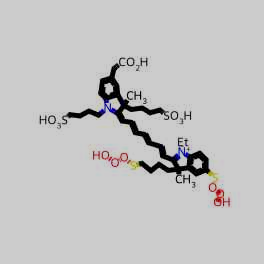 CC[N+]1=C(/C=C/C=C/C=C/C=C2/N(CCCCS(=O)(=O)O)c3ccc(CC(=O)O)cc3C2(C)CCCCS(=O)(=O)O)C(C)(CCCCSOOO)c2cc(SOOO)ccc21